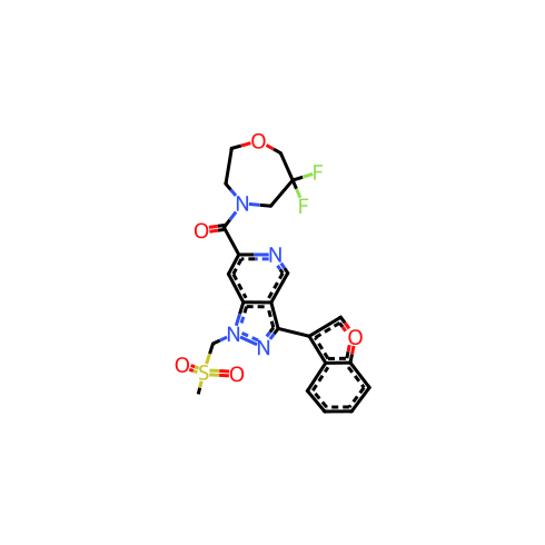 CS(=O)(=O)Cn1nc(-c2coc3ccccc23)c2cnc(C(=O)N3CCOCC(F)(F)C3)cc21